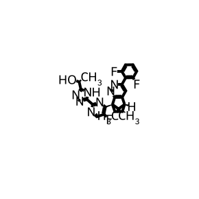 C[C@H](O)c1nnc(-c2ncc(F)c([C@@]34CC[C@@H](c5cc(-c6c(F)cccc6F)nnc53)C4(C)C)n2)[nH]1